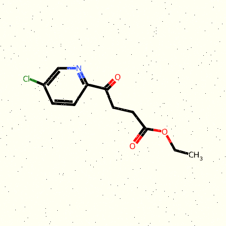 CCOC(=O)CCC(=O)c1ccc(Cl)cn1